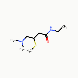 CCNC(=O)CC(CN(C)C)SC